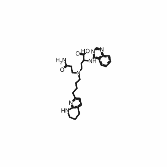 NC(=O)CCN(CCCCc1ccc2c(n1)NCCC2)CCC(Nc1ncnc2ccccc12)C(=O)O